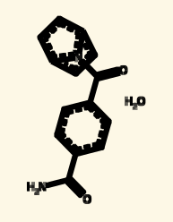 NC(=O)c1ccc(C(=O)n2c3ccc2cc3)cc1.O